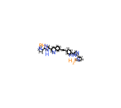 PN1CCCC1c1ncc(-c2cnc3cc(C#Cc4ccc(-c5cnc([C@@H]6CCCN6P)[nH]5)cc4)ccc3c2)[nH]1